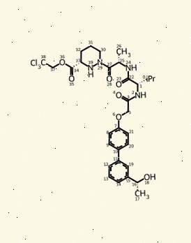 CC(C)[C@H](NC(=O)COc1ccc(-c2cccc([C@@H](C)O)c2)cc1)C(=O)N[C@@H](C)C(=O)N1CCC[C@@H](C(=O)OCC(Cl)(Cl)Cl)N1